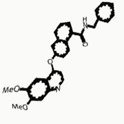 COc1cc2nccc(Oc3ccc4c(C(=O)NCc5ccccc5)cccc4c3)c2cc1OC